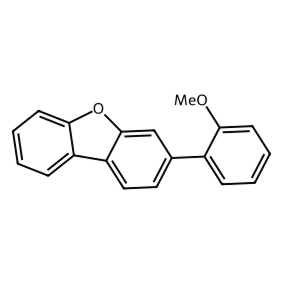 COc1ccccc1-c1ccc2c(c1)oc1ccccc12